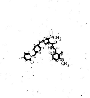 CNc1nn(Cc2ccc(Cn3ccccc3=O)cc2)cc1C(=O)NCc1c(F)ccc(OC)c1F